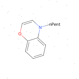 CCCCCN1C=COc2ccccc21